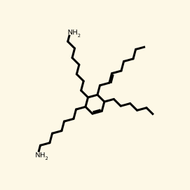 CCCCC/C=C/CC1C(CCCCCC)C=CC(CCCCCCCN)C1CCCCCCCN